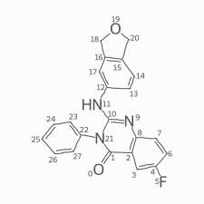 O=c1c2cc(F)ccc2nc(Nc2ccc3c(c2)COC3)n1-c1ccccc1